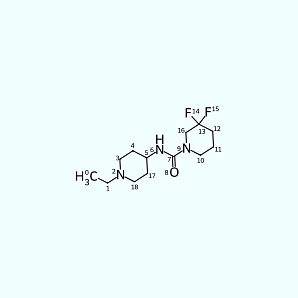 CCN1CCC(NC(=O)N2CCCC(F)(F)C2)CC1